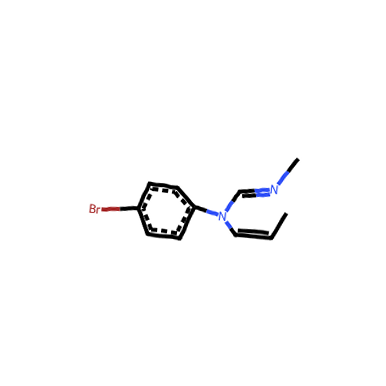 C/C=C\N(/C=N/C)c1ccc(Br)cc1